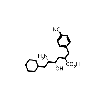 N#Cc1ccc(C[C@H](C[C@H](O)[C@@H](N)CC2CCCCC2)C(=O)O)cc1